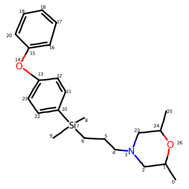 CC1CN(CCC[Si](C)(C)c2ccc(Oc3ccccc3)cc2)CC(C)O1